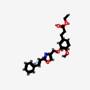 CCOC(=O)CCc1ccc(OC)c(OCc2coc(/C=C/c3ccccc3)n2)c1